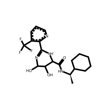 C[C@@H](NC(=O)C1NC(c2ncccc2C(F)(F)F)=NC(O)C1O)C1CCCCC1